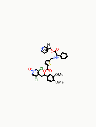 COc1ccc(C(Cc2c(Cl)c[n+]([O-])cc2Cl)OC(=O)c2ccc(CNC(C(=O)OC[C@H]3CN4CCC3CC4)c3ccccc3)s2)cc1OC